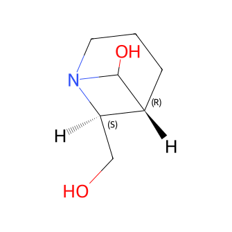 OC[C@@H]1[C@H]2CCCN1C2O